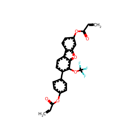 C=CC(=O)Oc1ccc(-c2ccc3c(oc4cc(OC(=O)C=C)ccc43)c2OC(F)(F)F)cc1